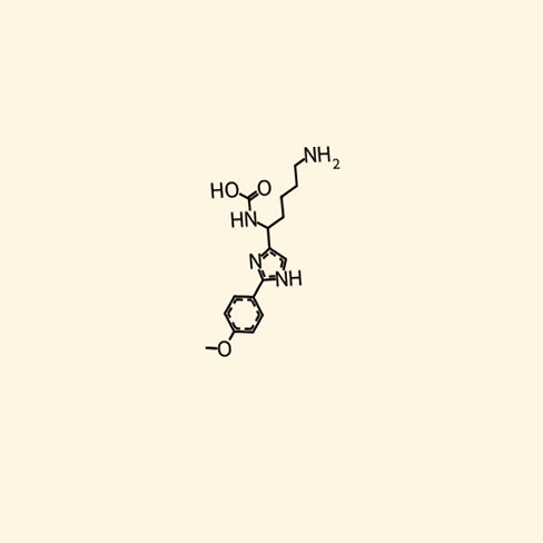 COc1ccc(-c2nc(C(CCCCN)NC(=O)O)c[nH]2)cc1